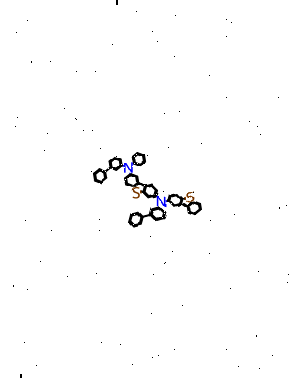 c1ccc(-c2cccc(N(c3ccc4c(c3)sc3ccc(N(c5ccccc5)c5cccc(-c6ccccc6)c5)cc34)c3ccc4sc5ccccc5c4c3)c2)cc1